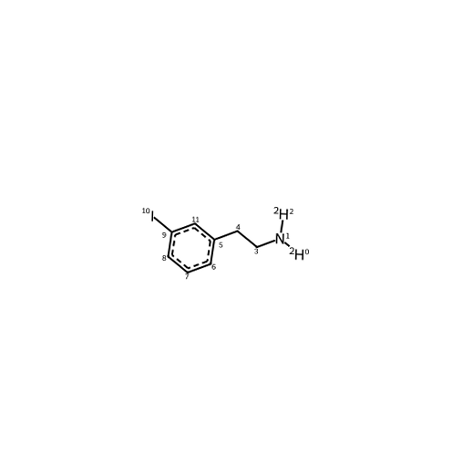 [2H]N([2H])CCc1cccc(I)c1